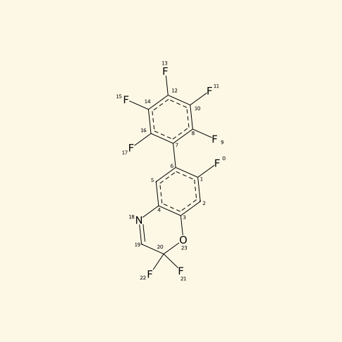 Fc1cc2c(cc1-c1c(F)c(F)c(F)c(F)c1F)N=CC(F)(F)O2